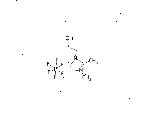 Cc1n(CCO)cc[n+]1C.F[P-](F)(F)(F)(F)F